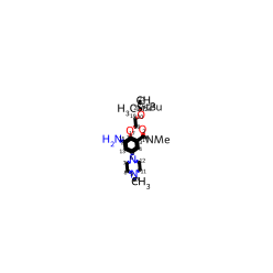 CNC(=O)c1cc(N2CCN(C)CC2)cc(N)c1OCCO[Si](C)(C)C(C)(C)C